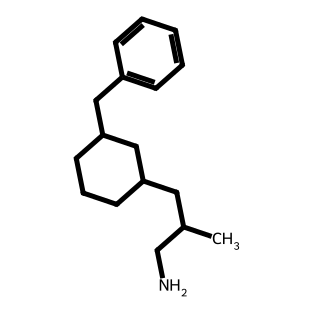 CC(CN)CC1CCCC(Cc2ccccc2)C1